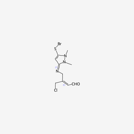 Cn1c(SBr)c/c(=N/C/C(=C\C=O)CCl)n1C